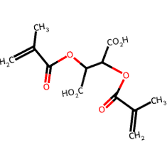 C=C(C)C(=O)OC(C(=O)O)C(OC(=O)C(=C)C)C(=O)O